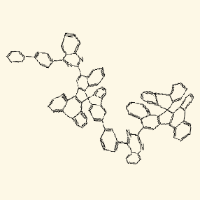 c1ccc(-c2ccc(-c3nc(-c4cc5c(c6ccccc46)C4(c6ccccc6-c6cc(-c7cccc(-c8nc(-c9cc%10c(c%11ccccc9%11)C9(c%11ccccc%11-c%11ccccc%119)c9c-%10c%10ccccc%10c%10ccccc9%10)nc9ccccc89)c7)ccc64)c4c-5c5ccccc5c5ccccc45)nc4ccccc34)cc2)cc1